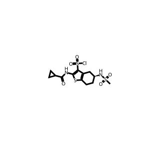 CS(=O)(=O)N[C@H]1CCc2sc(NC(=O)C3CC3)c(S(=O)(=O)Cl)c2C1